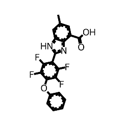 Cc1cc(C(=O)O)c2nc(-c3c(F)c(F)c(Oc4ccccc4)c(F)c3F)[nH]c2c1